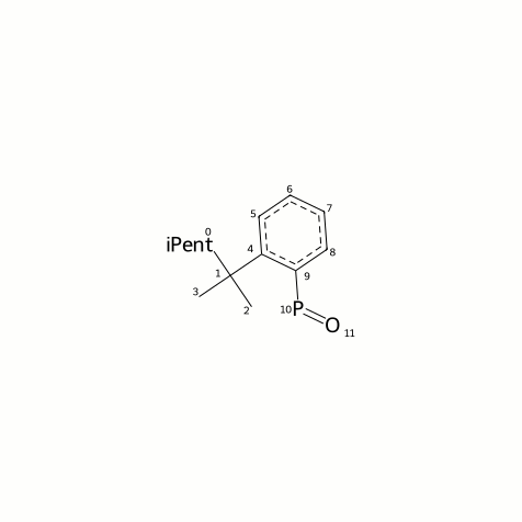 CCCC(C)C(C)(C)c1ccccc1P=O